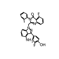 Cc1ccccc1-n1c(Cn2nc(-c3ccc(O)c(F)c3)c3c(N)cccc32)nc2cccc(F)c2c1=O